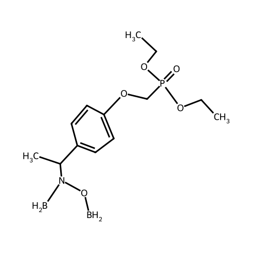 BON(B)C(C)c1ccc(OCP(=O)(OCC)OCC)cc1